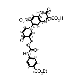 CCOC(=O)c1ccc(NC(=O)OCc2cn(-c3cc4nc(C(=O)O)c(=O)[nH]c4cc3[N+](=O)[O-])ccc2=O)cc1